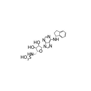 O=S(=O)(O)NC[C@H]1O[C@@H](n2cnc3c(N[C@@H]4CCc5ccccc54)ncnc32)[C@H](O)[C@@H]1O